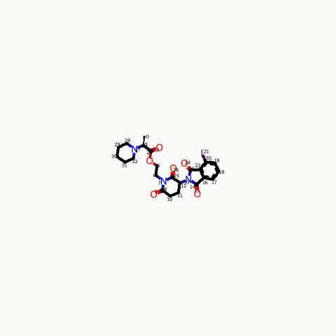 C[C@@H](C(=O)OCCN1C(=O)CCC(N2C(=O)c3cccc(I)c3C2=O)C1=O)N1CCCCC1